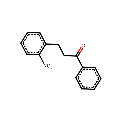 O=C(CCc1ccccc1[N+](=O)[O-])c1ccccc1